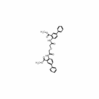 COC(=O)c1cc(-c2ccccc2)ccc1NC(=O)COCC(=O)Nc1ccc(-c2ccccc2)cc1C(=O)OC